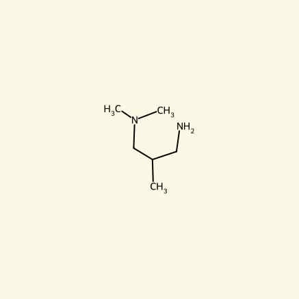 CC(CN)CN(C)C